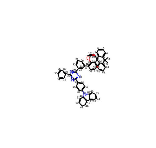 CC1(C)c2ccccc2C2(c3ccccc3Oc3c(-c4cccc(-c5nc(-c6ccccc6)nc(-c6ccc(-n7c8c(c9ccccc97)CCC=C8)cc6)n5)c4)cccc32)c2ccccc21